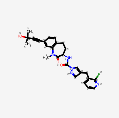 CN1C(=O)[C@H](NC(=O)n2cc(Cc3cccnc3F)cn2)CCc2ccc(C#CC(C)(C)O)cc21